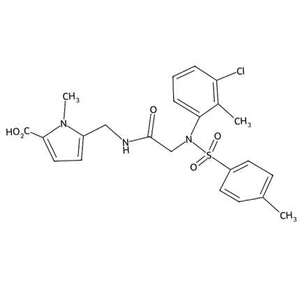 Cc1ccc(S(=O)(=O)N(CC(=O)NCc2ccc(C(=O)O)n2C)c2cccc(Cl)c2C)cc1